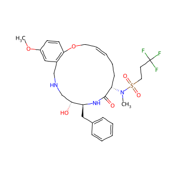 COc1ccc2c(c1)CNC[C@@H](O)[C@H](Cc1ccccc1)NC(=O)[C@@H](N(C)S(=O)(=O)CCC(F)(F)F)CC/C=C\CO2